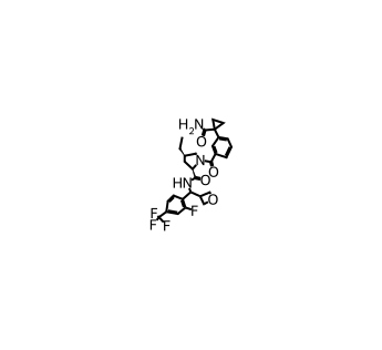 CC[C@@H]1C[C@H](C(=O)NC(c2ccc(C(F)(F)F)cc2F)C2COC2)N(C(=O)c2cccc(C3(C(N)=O)CC3)c2)C1